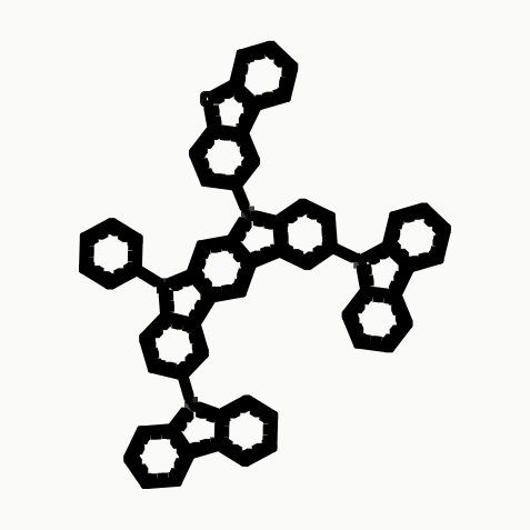 c1ccc(-n2c3ccc(-n4c5ccccc5c5ccccc54)cc3c3cc4c5cc(-n6c7ccccc7c7ccccc76)ccc5n(-c5ccc6oc7ccccc7c6c5)c4cc32)cc1